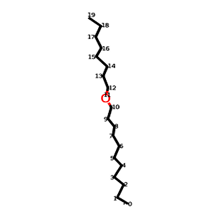 [CH2]CCCCCCCCCCOCCCCCCCC